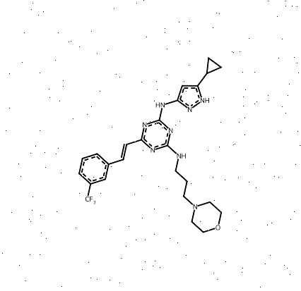 FC(F)(F)c1cccc(/C=C/c2nc(NCCCN3CCOCC3)nc(Nc3cc(C4CC4)[nH]n3)n2)c1